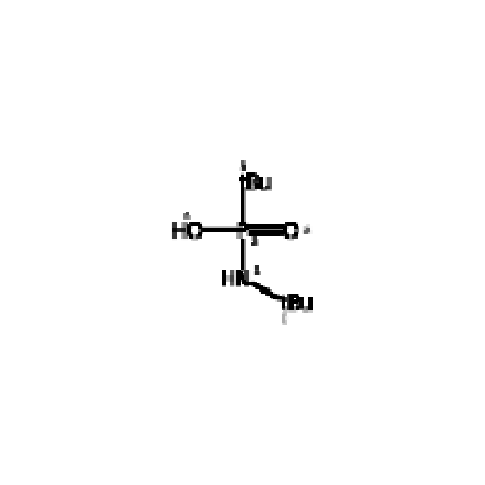 CC(C)(C)NP(=O)(O)C(C)(C)C